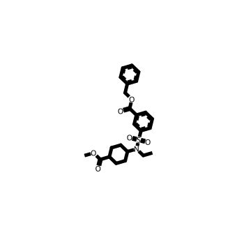 CCN(C1CCC(C(=O)OC)CC1)S(=O)(=O)c1cccc(C(=O)OCc2ccccc2)c1